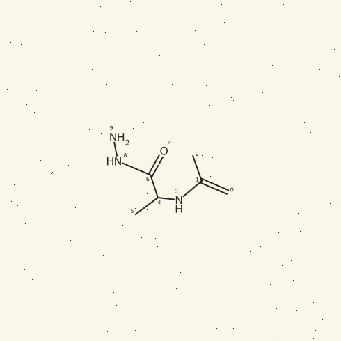 C=C(C)NC(C)C(=O)NN